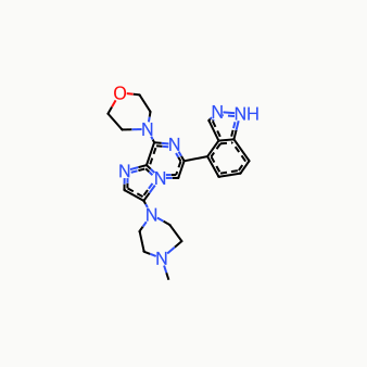 CN1CCN(c2cnc3c(N4CCOCC4)nc(-c4cccc5[nH]ncc45)cn23)CC1